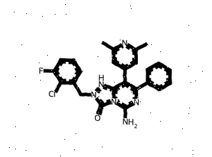 Cc1cc(-c2c(-c3ccccc3)nc(N)[n+]3c(=O)n(Cc4cccc(F)c4Cl)[nH]c23)cc(C)n1